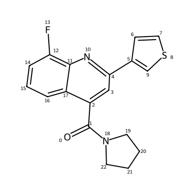 O=C(c1cc(-c2ccsc2)nc2c(F)cccc12)N1CCCC1